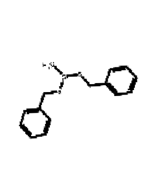 [SiH3][SiH](SCc1ccccc1)SCc1ccccc1